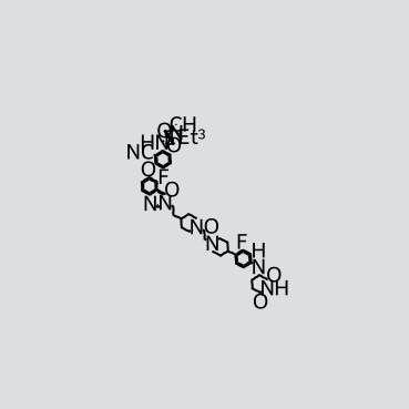 CCN(C)S(=O)(=O)Nc1ccc(F)c(Oc2ccc3ncn(CCC4CCN(C(=O)CN5CCC(c6ccc(NC7CCC(=O)NC7=O)cc6F)CC5)CC4)c(=O)c3c2)c1C#N